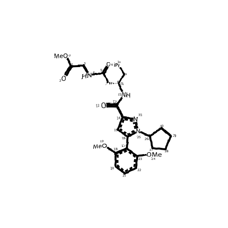 COC(=O)CNC(=O)C[C@H](CC(C)C)NC(=O)c1cc(-c2c(OC)cccc2OC)n(C2CCCC2)n1